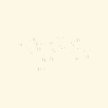 CSc1ncc2c(n1)N(c1cccc(CN(C)C(=O)OC(C)(C)C)n1)[C@H](CCO)[C@]2(C)CO[Si](C)(C)C(C)(C)C